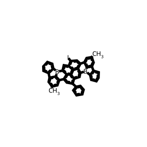 Cc1cc2c3c(c1)-c1cc(I)c4cc5c6c(cc(-c7ccccc7)c7cc(c1c4c76)B3c1ccccc1-2)-c1cc(C)cc2c1B5c1ccccc1-2